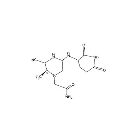 N#CC1NC(NC2CCC(=O)NC2=O)CN(CC(N)=O)[C@H]1C(F)(F)F